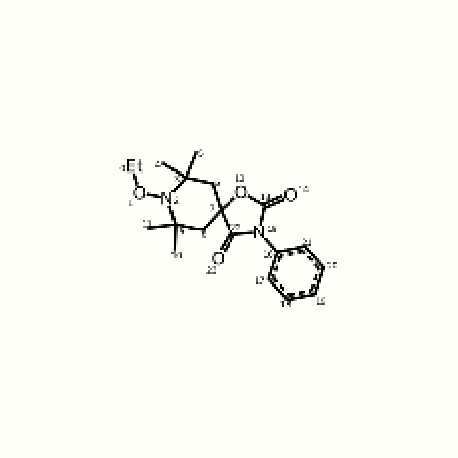 CCON1C(C)(C)CC2(CC1(C)C)OC(=O)N(c1ccccc1)C2=O